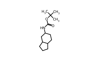 CC(C)(C)OC(=O)NC1CCC2CCCC2C1